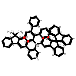 CC1(C)c2ccccc2-c2cc(-c3ccncc3N(c3ccc4c(c3)-c3ccccc3C43c4ccccc4-c4ccccc43)c3cccc(-c4ccccc4)c3-c3ccccc3)ccc21